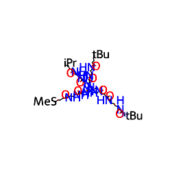 CSCCCCCC(=O)NCCCNC(=O)CCNc1nc(N(CCC(=O)NCCCNC(=O)CCCCC(C)C)CCC(=O)NCCCNC(=O)CCCCC(C)(C)C)nc(N2CCN(C(=O)CCCC(=O)NCCCCCCNC(=O)/C=C/C(C)(C)C)CC2)n1